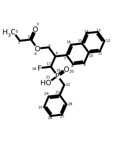 CCC(=O)OCC(c1ccc2ccccc2c1)C(F)P(=O)(O)Cc1ccccc1